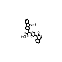 Cl.NC(=O)C(c1ccc2c(c1)C(O)c1ccccc1-2)N1CCC(N2C(=O)OCc3ccccc32)CC1